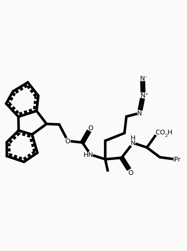 CC(C)CC(NC(=O)C(C)(CCCN=[N+]=[N-])NC(=O)OCC1c2ccccc2-c2ccccc21)C(=O)O